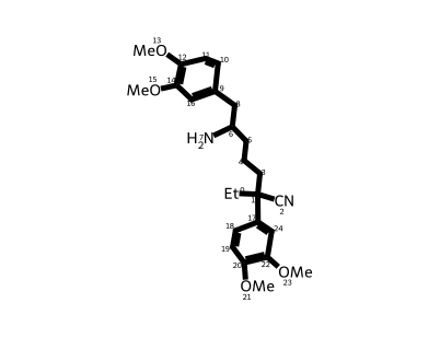 CCC(C#N)(CCCC(N)Cc1ccc(OC)c(OC)c1)c1ccc(OC)c(OC)c1